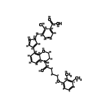 Cc1cccc(OCCCC(=O)N2CCOc3c(-c4cnn(Cc5cccc(C(=O)O)c5Cl)c4)cccc32)c1C